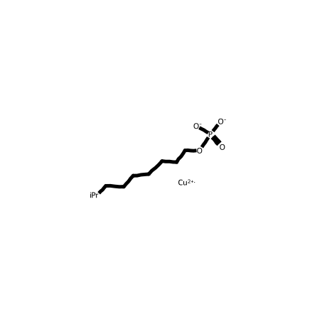 CC(C)CCCCCCCOP(=O)([O-])[O-].[Cu+2]